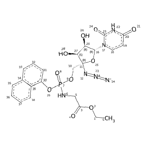 CCOC(=O)CNP(=O)(OC[C@@]1(N=[N+]=[N-])O[C@@H](n2ccc(=O)[nH]c2=O)[C@H](O)[C@@H]1O)Oc1cccc2ccccc12